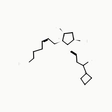 O=C(O)CCC/C=C\C[C@@H]1[C@@H](/C=C/CC(O)C2CCC2)[C@H](O)C[C@@H]1Cl